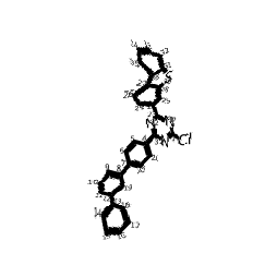 Clc1nc(-c2ccc(-c3cccc(-c4ccccc4)c3)cc2)nc(-c2ccc3c(c2)sc2ccccc23)n1